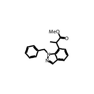 COC(=O)C(C)c1cccc2cnn(Cc3ccccc3)c12